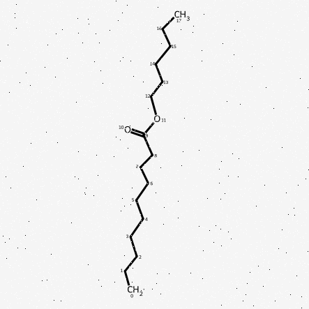 [CH2]CCCCCCCCC(=O)OCCCCCC